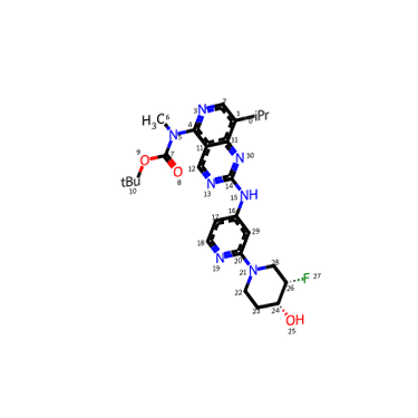 CC(C)c1cnc(N(C)C(=O)OC(C)(C)C)c2cnc(Nc3ccnc(N4CC[C@@H](O)[C@@H](F)C4)c3)nc12